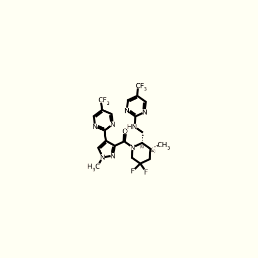 C[C@@H]1CC(F)(F)CN(C(=O)c2nn(C)cc2-c2ncc(C(F)(F)F)cn2)[C@@H]1CNc1ncc(C(F)(F)F)cn1